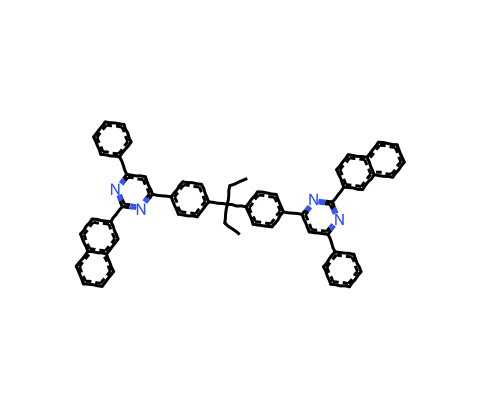 CCC(CC)(c1ccc(-c2cc(-c3ccccc3)nc(-c3ccc4ccccc4c3)n2)cc1)c1ccc(-c2cc(-c3ccccc3)nc(-c3ccc4ccccc4c3)n2)cc1